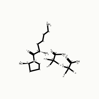 N#C[C@@H]1CCCN1C(=O)[C@@H](N)CCCCN.O=C(O)C(F)(F)F.O=C(O)C(F)(F)F